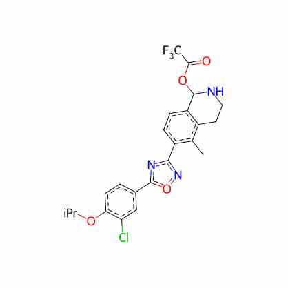 Cc1c(-c2noc(-c3ccc(OC(C)C)c(Cl)c3)n2)ccc2c1CCNC2OC(=O)C(F)(F)F